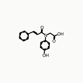 O=C(O)CN(C(=O)C=Cc1ccccc1)c1ccc(O)cc1